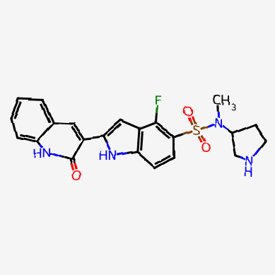 CN(C1CCNC1)S(=O)(=O)c1ccc2[nH]c(-c3cc4ccccc4[nH]c3=O)cc2c1F